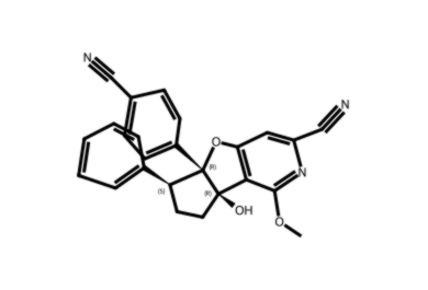 COc1nc(C#N)cc2c1[C@]1(O)CC[C@@H](c3ccccc3)[C@]1(c1ccc(C#N)cc1)O2